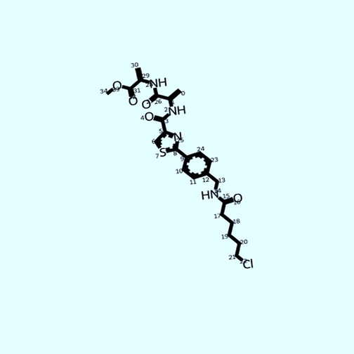 C=C(NC(=O)c1csc(-c2ccc(CNC(=O)CCCCCCl)cc2)n1)C(=O)NC(=C)C(=O)OC